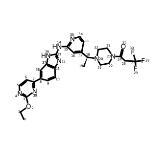 CCOc1nccc(-c2ccc3nc(Nc4cc([C@H](C)N5CCN(C(=O)CC(F)(F)F)CC5)ccn4)[nH]c3c2)n1